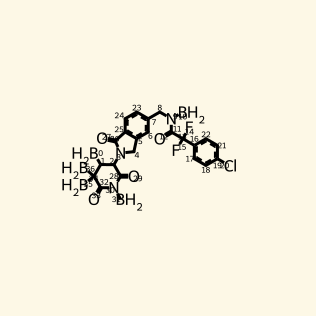 BC1C(N2Cc3cc(CN(B)C(=O)C(F)(F)c4ccc(Cl)cc4)ccc3C2=O)C(=O)N(B)C(=O)C1(B)B